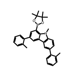 Cc1ccccc1-c1ccc2c(c1)c1cc(-c3ccccc3C)cc(B3OC(C)(C)C(C)(C)O3)c1n2C